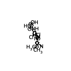 CC(C)Oc1ccc(-c2nc(-c3ccc(CNC(CC(=O)O)C(=O)O)cc3Cl)no2)cc1C#N.Cl